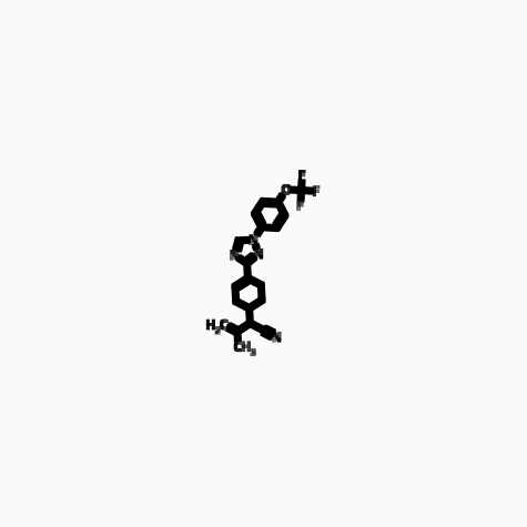 C=C(C)C(C#N)C1CC=C(c2ncn(-c3ccc(OC(F)(F)F)cc3)n2)CC1